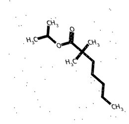 CCCCCC(C)(C)C(=O)OC(C)C